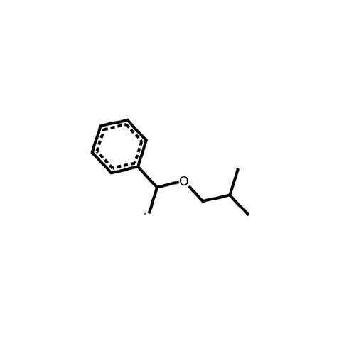 [CH2]C(OCC(C)C)c1ccccc1